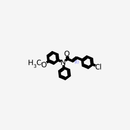 COc1cccc(N(C(=O)/C=C/c2ccc(Cl)cc2)c2ccccc2)c1